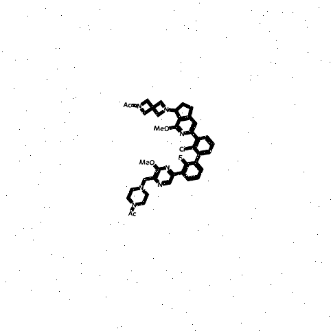 COc1nc(-c2cccc(-c3cccc(-c4cc5c(c(OC)n4)C(N4CC6(CN(C(C)=O)C6)C4)CC5)c3Cl)c2F)cnc1CN1CCN(C(C)=O)CC1